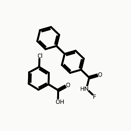 O=C(NF)c1ccc(-c2ccccc2)cc1.O=C(O)c1cccc(Cl)c1